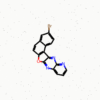 Brc1ccc2c(ccc3oc4nc5cccnc5nc4c32)c1